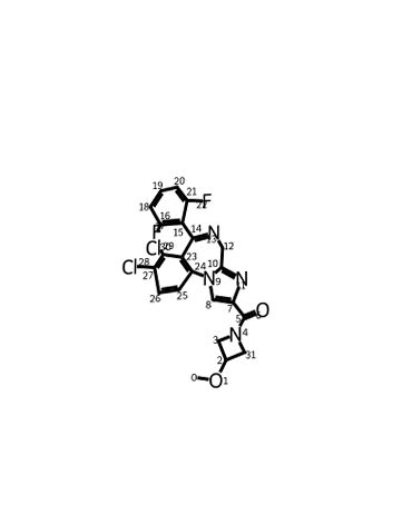 COC1CN(C(=O)c2cn3c(n2)CN=C(c2c(F)cccc2F)c2c-3ccc(Cl)c2Cl)C1